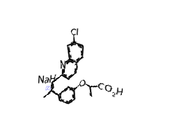 C/C(=C/c1ccc2ccc(Cl)cc2n1)c1cccc(OC(C)C(=O)O)c1.[NaH]